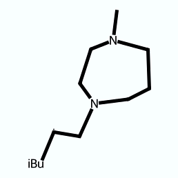 CCC(C)[CH]CN1CCCN(C)CC1